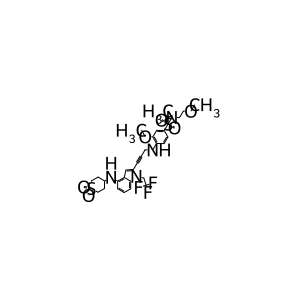 COCCN(C)S(=O)(=O)c1ccc(NCC#Cc2cc3c(NC4CCS(=O)(=O)CC4)cccc3n2CC(F)(F)F)c(OC)c1